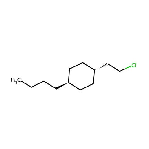 CCCC[C@H]1CC[C@H](CCCl)CC1